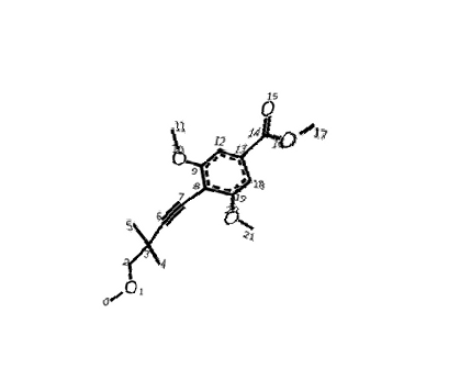 COCC(C)(C)C#Cc1c(OC)cc(C(=O)OC)cc1OC